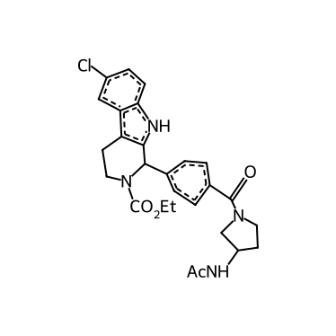 CCOC(=O)N1CCc2c([nH]c3ccc(Cl)cc23)C1c1ccc(C(=O)N2CCC(NC(C)=O)C2)cc1